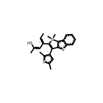 C/C=C(/C=C(/C)S)C1=C(c2cc(C)sc2C)c2sc3ccccc3c2[Si]1(C)C